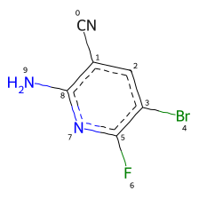 N#Cc1cc(Br)c(F)nc1N